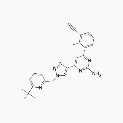 Cc1c(C#N)cccc1-c1cc(-c2cn(Cc3cccc(C(C)(C)C)n3)nn2)nc(N)n1